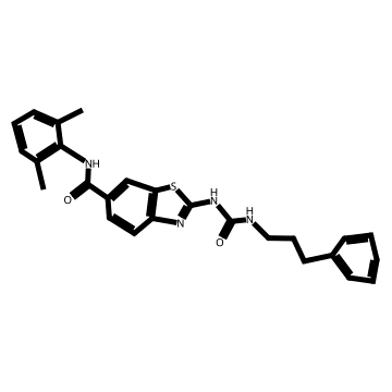 Cc1cccc(C)c1NC(=O)c1ccc2nc(NC(=O)NCCCc3ccccc3)sc2c1